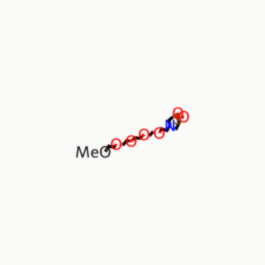 COCCOCCOCCOCCOCCN1CCS(=O)(=O)CC1